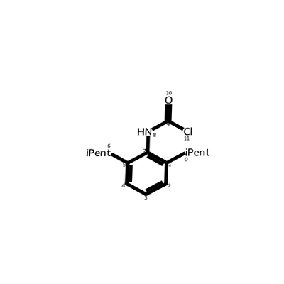 CCCC(C)c1cccc(C(C)CCC)c1NC(=O)Cl